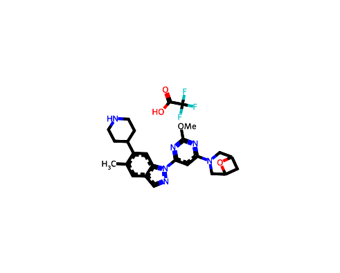 COc1nc(N2CC3CC(C2)O3)cc(-n2ncc3cc(C)c(C4CCNCC4)cc32)n1.O=C(O)C(F)(F)F